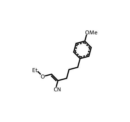 CCOC=C(C#N)CCCc1ccc(OC)cc1